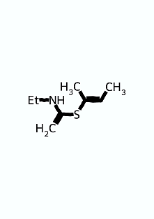 C=C(NCC)S/C(C)=C/C